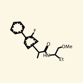 CCC(COC)NC(=O)C(C)c1ccc(-c2ccccc2)c(F)c1